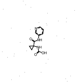 O=C(O)NC1(C(=O)Nc2cccnc2)CC1